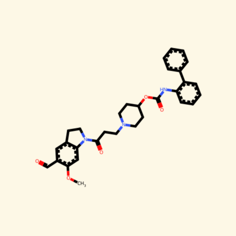 COc1cc2c(cc1C=O)CCN2C(=O)CCN1CCC(OC(=O)Nc2ccccc2-c2ccccc2)CC1